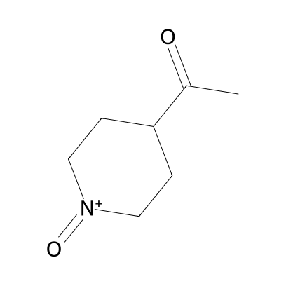 CC(=O)C1CC[N+](=O)CC1